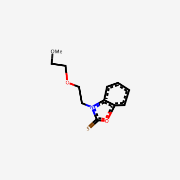 COCCOCCn1c(=S)oc2ccccc21